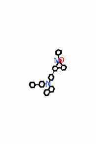 c1ccc(-c2ccc(N(c3ccc(-c4ccc5c(c4)c4ccccc4c4oc(-c6ccccc6)nc54)cc3)c3cccc4ccccc34)cc2)cc1